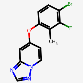 Cc1c(Oc2ccn3ncnc3c2)ccc(Br)c1F